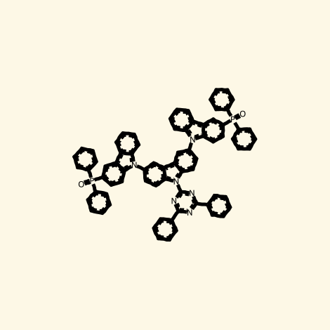 O=P(c1ccccc1)(c1ccccc1)c1ccc2c(c1)c1ccccc1n2-c1ccc2c(c1)c1cc(-n3c4ccccc4c4cc(P(=O)(c5ccccc5)c5ccccc5)ccc43)ccc1n2-c1nc(-c2ccccc2)nc(-c2ccccc2)n1